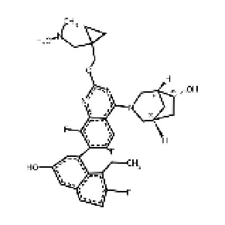 CCc1c(F)ccc2cc(O)cc(-c3c(F)cc4c(N5C[C@@H]6C[C@H](C5)[C@H](O)C6)nc(OCC5(CN(C)C)CC5)nc4c3F)c12